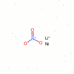 O=[N+]([O-])[O-].[Li+].[Ni]